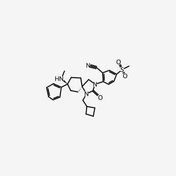 CN[C@]1(c2ccccc2)CC[C@]2(CC1)CN(c1ccc(S(C)(=O)=O)cc1C#N)C(=O)N2CC1CCC1